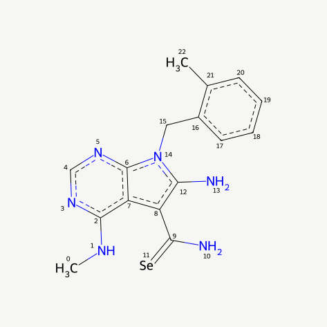 CNc1ncnc2c1c(C(N)=[Se])c(N)n2Cc1ccccc1C